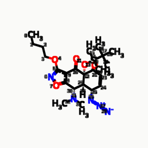 CCCCOc1noc2c1C(=O)[C@@]1(O[Si](C)(C)C(C)(C)C)C(=O)C=C[C@H](N=[N+]=[N-])[C@H]1[C@@H]2N(C)C